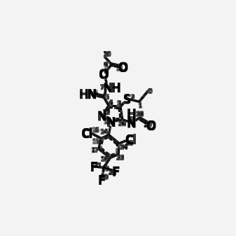 CCSc1c(C(=N)NOC(C)=O)nn(-c2c(Cl)cc(C(F)(F)F)cc2Cl)c1NC=O